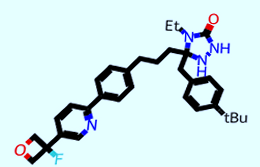 CCN1C(=O)NNC1(CCCc1ccc(-c2ccc(C3(F)COC3)cn2)cc1)Cc1ccc(C(C)(C)C)cc1